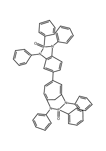 O=P1(c2ccccc2)N(c2ccccc2)C2=CC=C(c3ccc4c(c3)N(c3ccccc3)P(=O)(c3ccccc3)N4c3ccccc3)C=C(C2)N1c1ccccc1